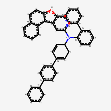 C1=CC(N(c2cc3c(cn2)oc2ccc4ccccc4c23)c2ccccc2-c2ccccc2)CC=C1c1ccc(-c2ccccc2)cc1